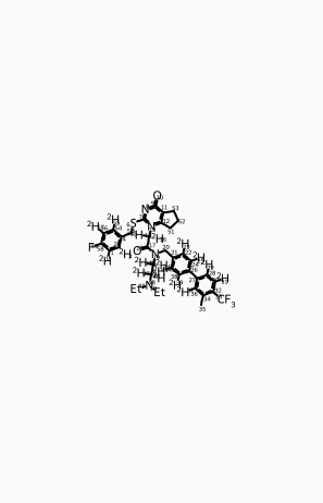 [2H]c1c([2H])c(CSc2nc(=O)c3c(n2C([2H])([2H])C(=O)N(Cc2c([2H])c([2H])c(-c4c([2H])c([2H])c(C(F)(F)F)c(C)c4[2H])c([2H])c2[2H])C([2H])([2H])C([2H])([2H])N(CC)CC)CCC3)c([2H])c([2H])c1F